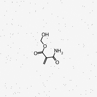 C=C(C(N)=O)C(=O)OCO